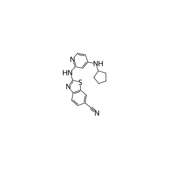 N#Cc1ccc2nc(Nc3cc(NC4CCCC4)ccn3)sc2c1